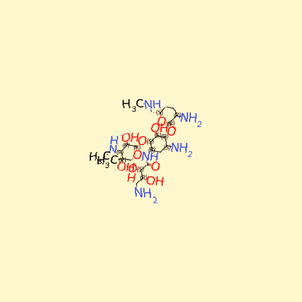 CNC[C@@H]1CC[C@@H](N)[C@@H](O[C@H]2[C@H](O)[C@@H](O[C@H]3OC[C@](C)(O)[C@H](NC)[C@H]3O)[C@H](NC(=O)[C@@H](O)[C@H](O)CN)C[C@@H]2N)O1